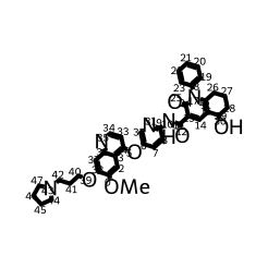 COc1cc2c(Oc3ccc(NC(=O)c4cc5c(n(-c6ccccc6)c4=O)CCCC5O)nc3)ccnc2cc1OCCCN1CCCC1